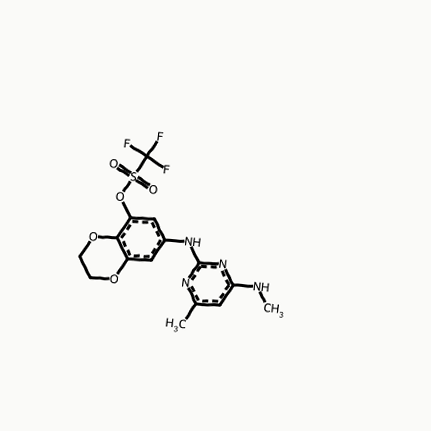 CNc1cc(C)nc(Nc2cc3c(c(OS(=O)(=O)C(F)(F)F)c2)OCCO3)n1